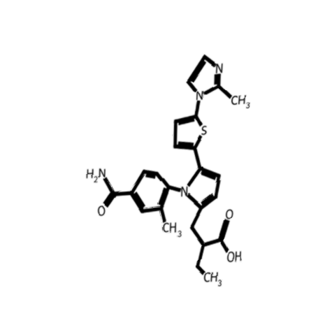 CCC(Cc1ccc(-c2ccc(-n3ccnc3C)s2)n1-c1ccc(C(N)=O)cc1C)C(=O)O